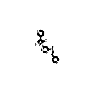 CN(CCc1ccncc1)c1cc(-n2[nH]cc(-c3cccnc3)c2=O)ncn1